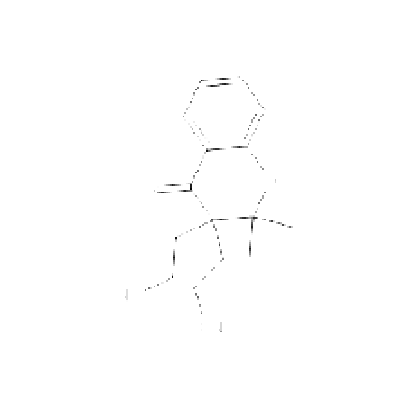 CC1(C)Oc2ccccc2C(=O)C1(CCC#N)CCC#N